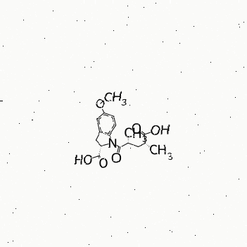 COc1ccc2c(c1)C[C@@H](C(=O)O)N2C(=O)[C@H](C)C[C@@H](C)C(=O)O